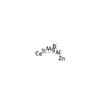 [Al].[B].[Ce].[Mg].[Ti].[Zn]